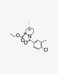 CCOC(=O)[C@H]1C[C@H](C)CCN1C(=O)c1ccc(Cl)c(C)c1